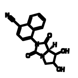 N#Cc1ccc(N2C(=O)[C@H]3C(O)C(O)CN3C2=O)c2ccccc12